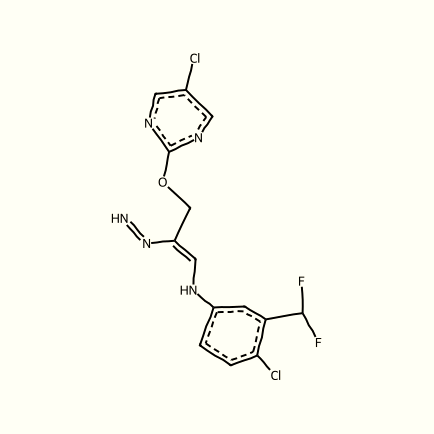 N=N/C(=C\Nc1ccc(Cl)c(C(F)F)c1)COc1ncc(Cl)cn1